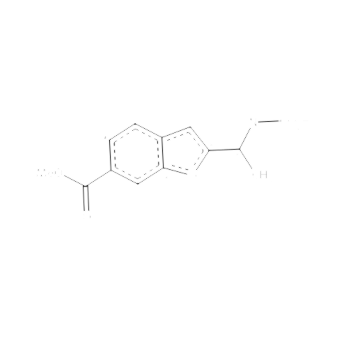 COC(=O)c1ccc2cc(C(C)NC(=O)O)oc2c1